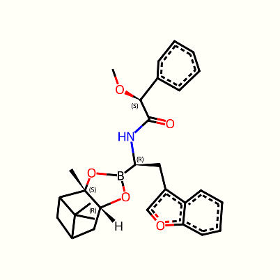 CO[C@H](C(=O)N[C@@H](Cc1coc2ccccc12)B1O[C@@H]2CC3CC(C3(C)C)[C@]2(C)O1)c1ccccc1